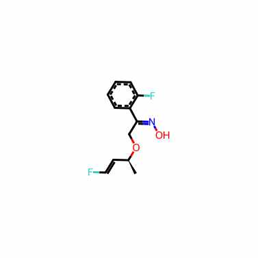 C[C@@H](C=CF)OCC(=NO)c1ccccc1F